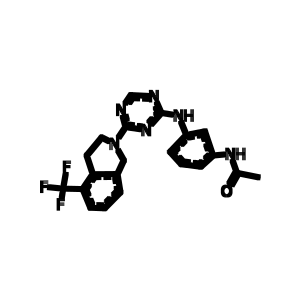 CC(=O)Nc1cccc(Nc2ncnc(N3CCc4c(cccc4C(F)(F)F)C3)n2)c1